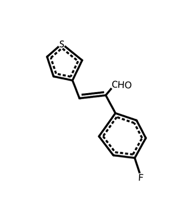 O=CC(=Cc1ccsc1)c1ccc(F)cc1